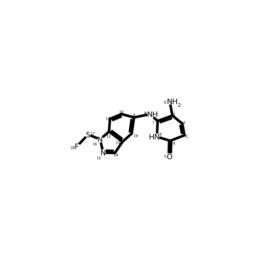 Nc1ccc(=O)[nH]c1Nc1ccc2c(cnn2SF)c1